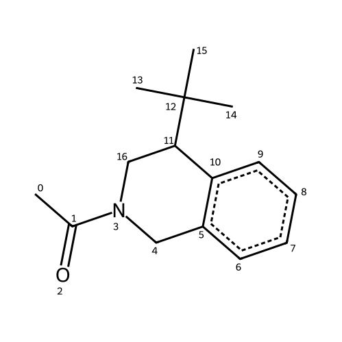 CC(=O)N1Cc2ccccc2C(C(C)(C)C)C1